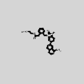 COCCOC(=O)Cc1ccccc1Cn1c(=O)n(C)c2ccc(-c3ccc4ccnc(N)c4c3)cc21